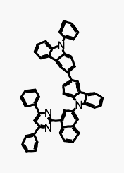 c1ccc(-c2cc(-c3ccccc3)nc(-c3cc(-n4c5ccccc5c5cc(-c6ccc7c(c6)c6ccccc6n7-c6ccccc6)ccc54)cc4ccccc34)n2)cc1